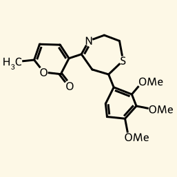 COc1ccc(C2CC(c3ccc(C)oc3=O)=NCCS2)c(OC)c1OC